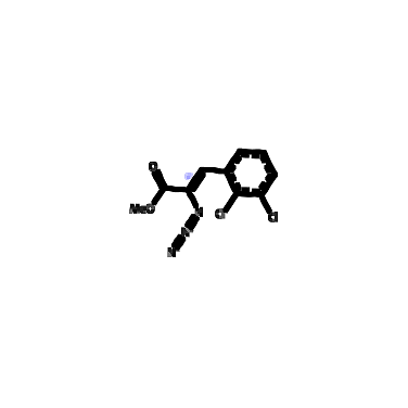 COC(=O)/C(=C/c1cccc(Cl)c1Cl)N=[N+]=[N-]